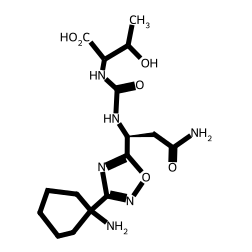 CC(O)C(NC(=O)N[C@@H](CC(N)=O)c1nc(C2(N)CCCCC2)no1)C(=O)O